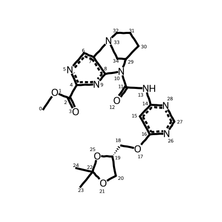 COC(=O)c1ncc2c(n1)N(C(=O)Nc1cc(OC[C@@H]3COC(C)(C)O3)ncn1)C1CCCN2C1